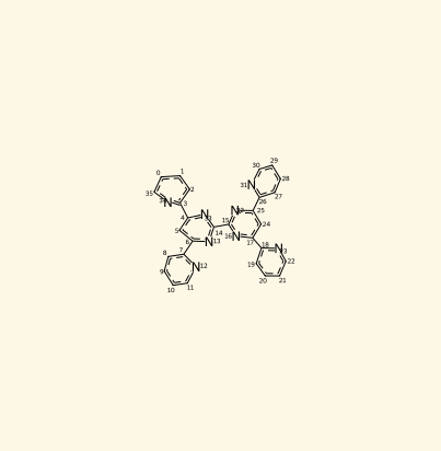 c1ccc(-c2cc(-c3ccccn3)nc(-c3nc(-c4ccccn4)cc(-c4ccccn4)n3)n2)nc1